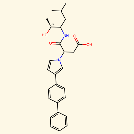 CC(C)CC(NC(=O)C(CC(=O)O)n1ccc(-c2ccc(-c3ccccc3)cc2)c1)[C@H](C)O